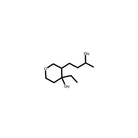 CCC1(O)CCOCC1CCC(C)O